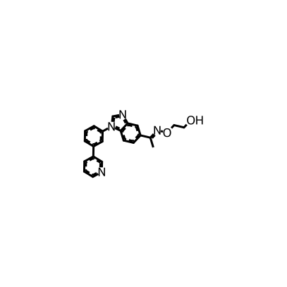 CC(=NOCCO)c1ccc2c(c1)ncn2-c1cccc(-c2cccnc2)c1